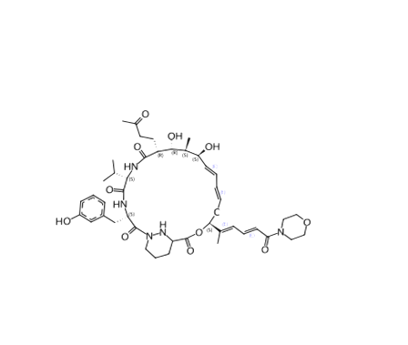 CC(=O)CC[C@H]1C(=O)N[C@@H](C(C)C)C(=O)N[C@@H](Cc2cccc(O)c2)C(=O)N2CCCC(N2)C(=O)O[C@H](/C(C)=C/C=C/C(=O)N2CCOCC2)C/C=C/C=C/[C@H](O)[C@H](C)[C@H]1O